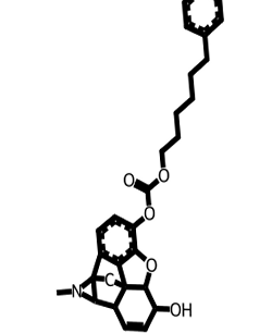 CN1C2C3C=CC(O)C4Oc5c(OC(=O)OCCCCCCc6ccccc6)ccc6c5C34CC621